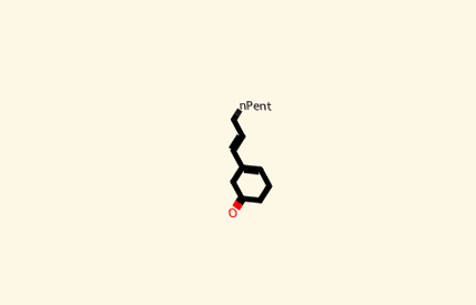 CCCCCCC=CC1=CCCC(=O)C1